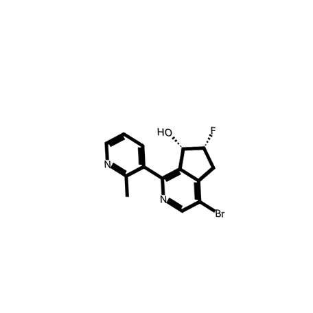 Cc1ncccc1-c1ncc(Br)c2c1[C@H](O)[C@H](F)C2